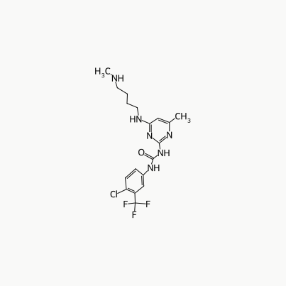 CNCCCCNc1cc(C)nc(NC(=O)Nc2ccc(Cl)c(C(F)(F)F)c2)n1